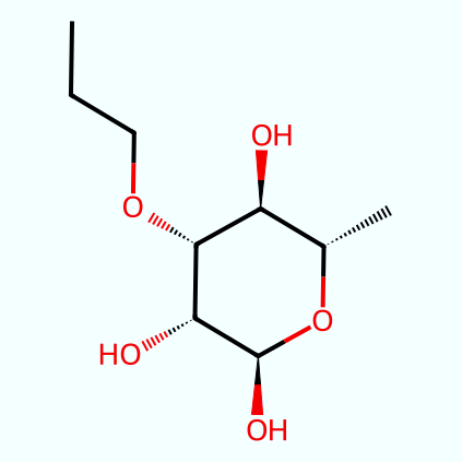 CCCO[C@@H]1[C@@H](O)[C@H](C)O[C@@H](O)[C@@H]1O